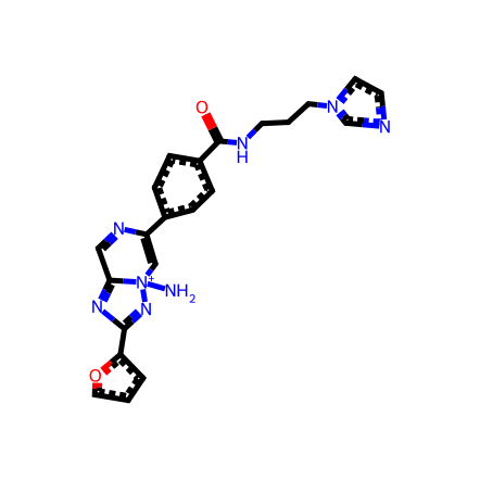 N[N+]12C=C(c3ccc(C(=O)NCCCn4ccnc4)cc3)N=CC1=NC(c1ccco1)=N2